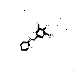 Nc1cc(COC2CCCCO2)cc(Br)c1F